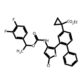 CCOC(=O)C1(c2ccc(-c3ccccc3)c(-c3sc(Cl)cc3NC(=O)OC(C)c3ccc(F)c(F)c3)c2)CC1